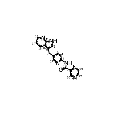 O=C(Nc1ccc(Cc2c[nH]c3ncccc23)cn1)c1cnccn1